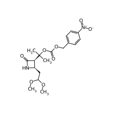 COC(C[C@H]1NC(=O)[C@H]1C(C)(C)OC(=O)OCc1ccc([N+](=O)[O-])cc1)OC